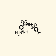 CC(C)c1ccc(S(=O)(=O)CNCC2CN(c3cccc(C(=N)N)c3)C(=O)O2)cc1